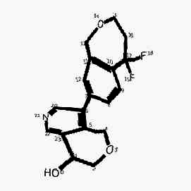 OC1COCc2c(-c3ccc4c(c3)COCCC4(F)F)cncc21